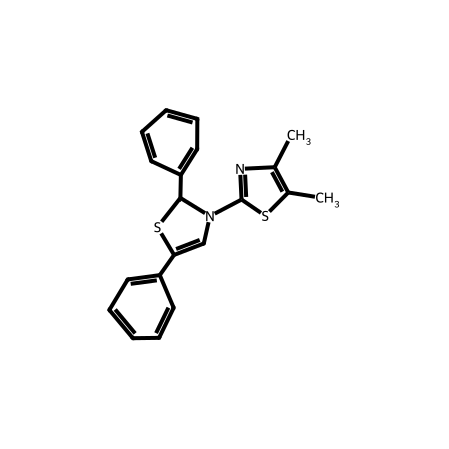 Cc1nc(N2C=C(c3ccccc3)S[C]2c2ccccc2)sc1C